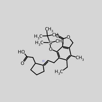 CCc1c(C)c2c(c(O[Si](C)(C)C(C)(C)C)c1C/C=C1\CCCC1CC(=O)O)C(=O)OC2